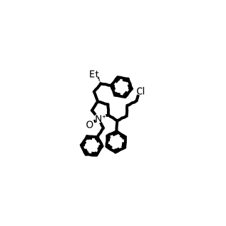 CC[C@@H](CC1CC(C(CCCCl)c2ccccc2)[N+]([O-])(Cc2ccccc2)C1)c1ccccc1